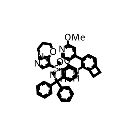 COc1cc(-c2ccc3c(c2NC(=O)NS(=O)(=NC(c2ccccc2)(c2ccccc2)c2ccccc2)c2cnn4c2OCCC4)CC3)ccn1